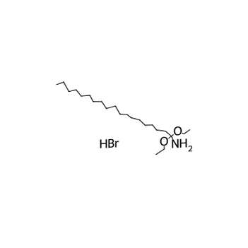 Br.CCCCCCCCCCCCCCCCCCC(N)(OCC)OCC